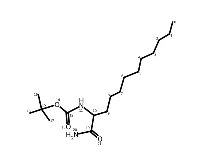 CCCCCCCCCCC(NC(=O)OC(C)(C)C)C(N)=O